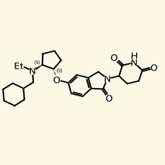 CCN(CC1CCCCC1)[C@H]1CCC[C@@H]1Oc1ccc2c(c1)CN(C1CCC(=O)NC1=O)C2=O